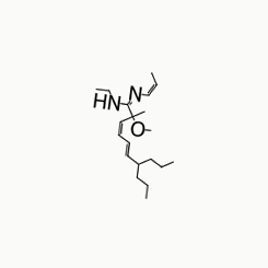 C/C=C\N=C(\NCC)C(C)(/C=C\C=C\C(CCC)CCC)OC